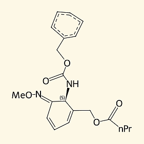 CCCC(=O)OCC1=CC=CC(=NOC)[C@H]1NC(=O)OCc1ccccc1